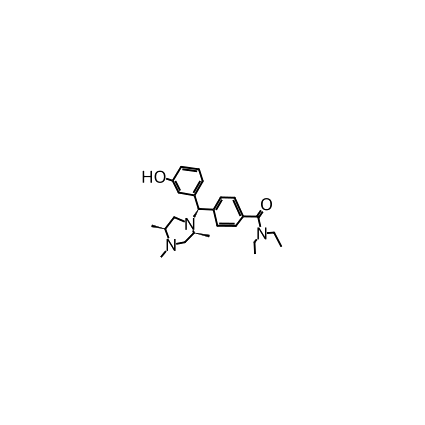 CCN(CC)C(=O)c1ccc([C@H](c2cccc(O)c2)N2C[C@H](C)N(C)C[C@@H]2C)cc1